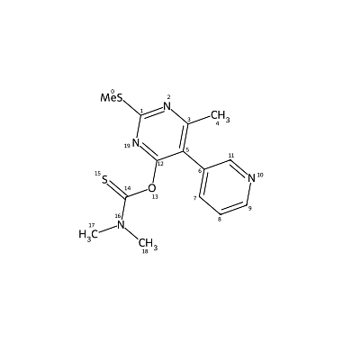 CSc1nc(C)c(-c2cccnc2)c(OC(=S)N(C)C)n1